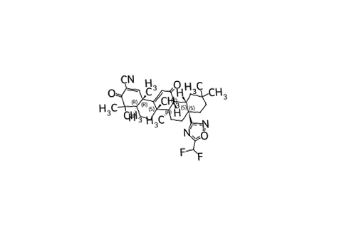 CC1(C)CC[C@]2(c3noc(C(F)F)n3)CC[C@]3(C)[C@H](C(=O)C=C4[C@@]5(C)C=C(C#N)C(=O)C(C)(C)[C@@H]5CC[C@]43C)[C@@H]2C1